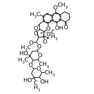 COc1c2c(c(O)c3c4c(c(C)cc13)C1OC3(C(OC)OC5CC(C)(O)C(OC6CC(C)(O)C(O)C(C)O6)C(C)O5)OC1[C@@](OC)(O4)[C@@]31CO1)C(=O)CCC2